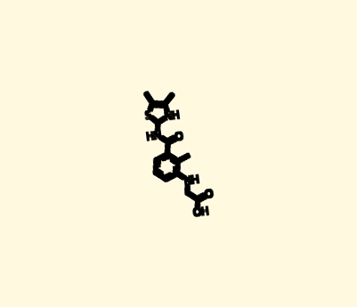 CC1=C(C)SC(NC(=O)c2cccc(NCC(=O)O)c2C)N1